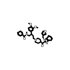 COc1ccc(C(CCN2CCC(C(=O)c3nc4ccccc4n3Cc3ccoc3)CC2)CN(C)C(=O)c2ccccc2)cc1OC